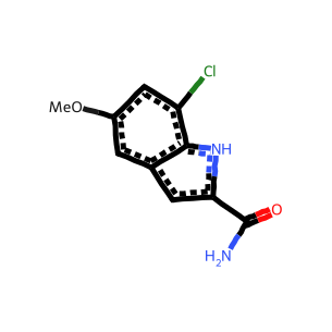 COc1cc(Cl)c2[nH]c(C(N)=O)cc2c1